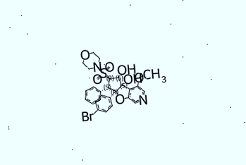 COc1cncc2c1[C@]1(O)[C@H](O)[C@H](S(=O)(=O)N3CCOCC3)[C@@H](c3ccccc3)[C@]1(c1ccc(Br)cc1)O2